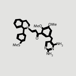 COc1cc(Cc2cnc(N)nc2N)cc(C(=O)/C=C/N2CCc3ccccc3C2c2ccc(SC)cc2)c1OC